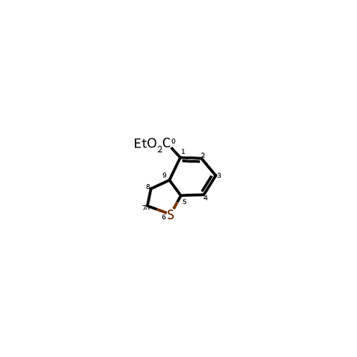 CCOC(=O)C1=CC=CC2S[C]CC12